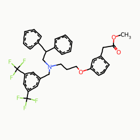 COC(=O)Cc1cccc(OCCCN(Cc2cc(C(F)(F)F)cc(C(F)(F)F)c2)CC(c2ccccc2)c2ccccc2)c1